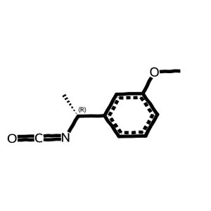 COc1cccc([C@@H](C)N=C=O)c1